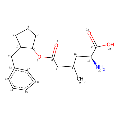 CC(CC(=O)OC1CCCC1Cc1ccccc1)C[C@H](N)C(=O)O